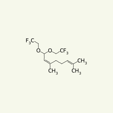 CC(C)=CCCC(C)=CC(OCC(F)(F)F)OCC(F)(F)F